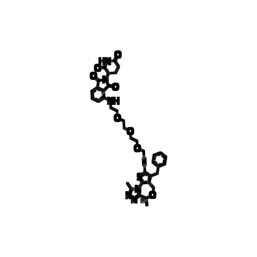 Cc1nnc2n1-c1sc(C#CCOCCOCCOCCNc3cccc4c3C(=O)N(C3CCC(=O)NC3=O)C4=O)c(Cc3ccccc3)c1CO[C@H]2C